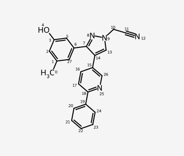 Cc1cc(O)cc(-c2nn(CC#N)cc2-c2ccc(-c3ccccc3)nc2)c1